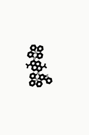 CC(C)c1cc(N2c3ccccc3[Si](c3ccccc3)(c3ccccc3)c3ccccc32)c2ccc3c(C(C)C)cc(N4c5ccccc5[Si](c5ccccc5)(c5ccccc5)c5cc6c(cc54)sc4ccccc46)c4ccc1c2c34